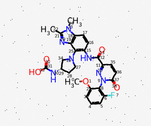 COc1cccc(F)c1-n1nc(C(=O)Nc2ccc3c(nc(C)n3C)c2N2CC[C@H](NC(=O)O)C2)ccc1=O